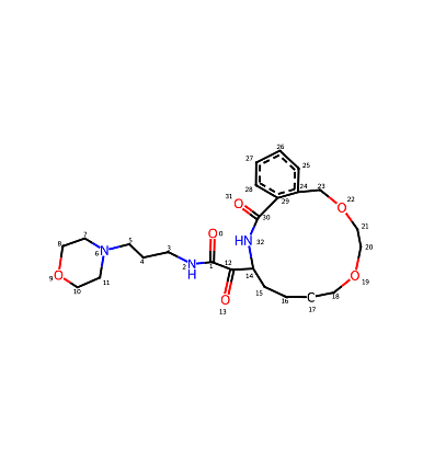 O=C(NCCCN1CCOCC1)C(=O)C1CCCCOCCOCc2ccccc2C(=O)N1